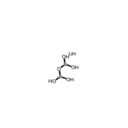 OB(O)OB(O)O.[LiH]